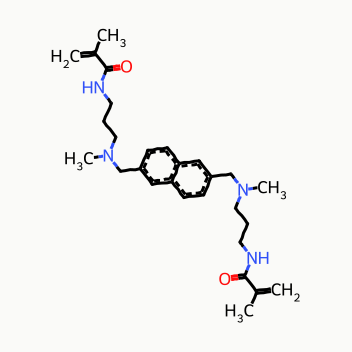 C=C(C)C(=O)NCCCN(C)Cc1ccc2cc(CN(C)CCCNC(=O)C(=C)C)ccc2c1